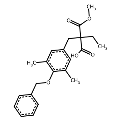 CCC(Cc1cc(C)c(OCc2ccccc2)c(C)c1)(C(=O)O)C(=O)OC